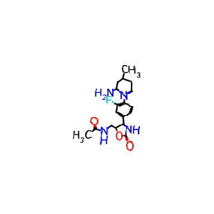 CC(=O)NCC1OC(=O)NC1c1ccc(N2CCC(C)CC2N)c(F)c1